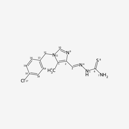 Cc1c(C=NNC(N)=S)ncn1Cc1ccc(Cl)cc1